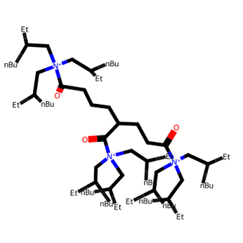 CCCCC(CC)C[N+](CC(CC)CCCC)(CC(CC)CCCC)C(=O)CCCC(CCC(=O)[N+](CC(CC)CCCC)(CC(CC)CCCC)CC(CC)CCCC)C(=O)[N+](CC(CC)CCCC)(CC(CC)CCCC)CC(CC)CCCC